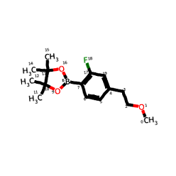 COCCc1ccc(B2OC(C)(C)C(C)(C)O2)c(F)c1